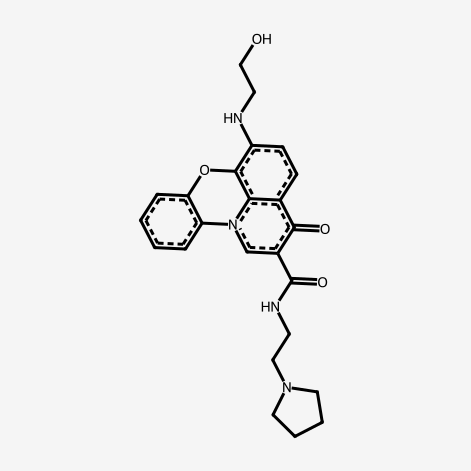 O=C(NCCN1CCCC1)c1cn2c3c(c(NCCO)ccc3c1=O)Oc1ccccc1-2